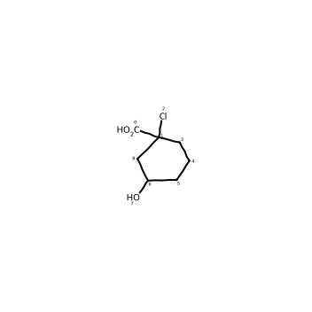 O=C(O)C1(Cl)CCCC(O)C1